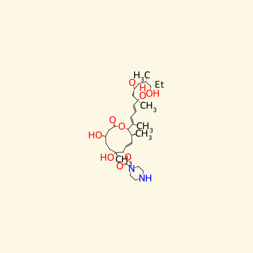 CC[C@H](O)[C@@H](C)[C@H]1O[C@@H]1C[C@@](C)(O)/C=C/C=C(\C)C1OC(=O)C[C@H](O)CC[C@@](C)(O)[C@@H](OC(=O)N2CCNCC2)/C=C/[C@@H]1C